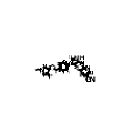 CN1CC(F)C(OCc2ccc(-n3cnc(Nc4cnc(C#N)cn4)c3)cc2)C1